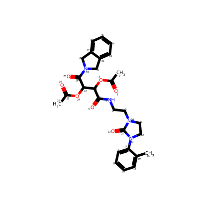 CC(=O)OC(C(=O)NCCN1CCN(c2ccccc2C)C1=O)C(OC(C)=O)C(=O)N1Cc2ccccc2C1